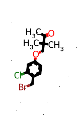 CC(=O)C(C)(C)COc1ccc(CBr)c(Cl)c1